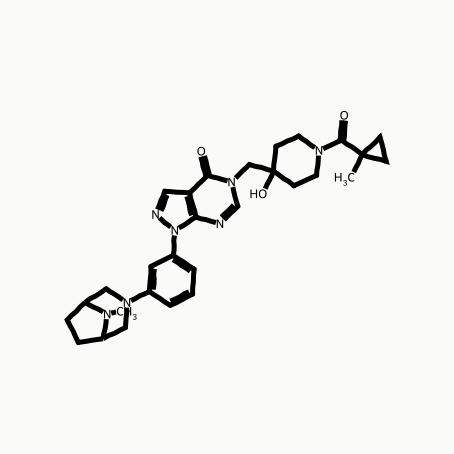 CN1C2CCC1CN(c1cccc(-n3ncc4c(=O)n(CC5(O)CCN(C(=O)C6(C)CC6)CC5)cnc43)c1)C2